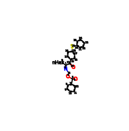 CCCCCCC(=NCOC(=O)c1ccccc1)C(=O)c1ccc(Sc2ccccc2)cc1